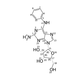 Nc1nc(Nc2ccccc2)c2ncn([C@@H]3O[C@H](CO)[C@H](O)[C@@H]3O)c2n1